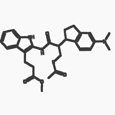 COC(=O)CCc1c(NC(=O)C(CSC(C)=O)C2CCc3cc(N(C)C)ccc32)[nH]c2ccccc12